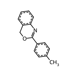 Cc1ccc(C2=Nc3ccccc3CO2)cc1